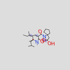 CC/C(C)=C(/C=C(/C(=O)NC1(CC(=O)O)CCCC1)C(=O)N(C)CCC(C)C)CC